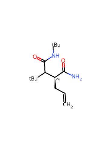 C=CC[C@H](C(N)=O)C(C(=O)NC(C)(C)C)C(C)(C)C